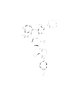 Nc1nccc(-c2nc(N3CCOCC3)sc2C2C=CC=C(N3CCN(c4ccc(Cl)cc4)C3=O)C2F)n1